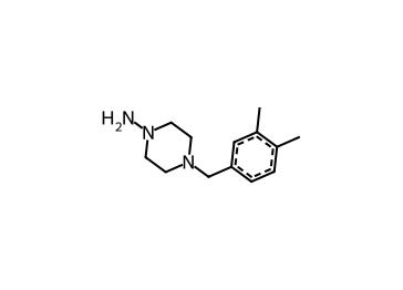 Cc1ccc(CN2CCN(N)CC2)cc1C